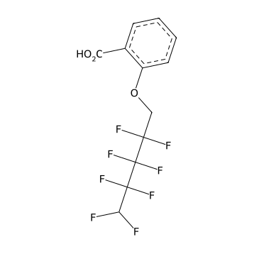 O=C(O)c1ccccc1OCC(F)(F)C(F)(F)C(F)(F)C(F)F